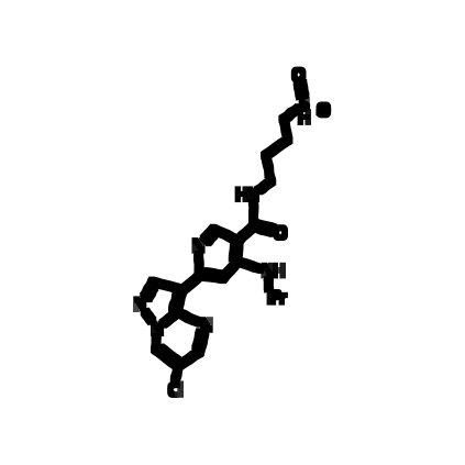 CC(C)Nc1cc(-c2cnn3cc(Cl)cnc23)ncc1C(=O)NCCCC[SH](=O)=O